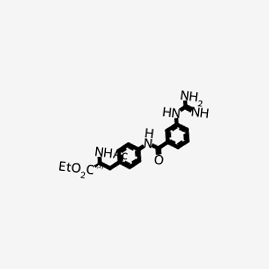 CCOC(=O)[C@H](Cc1ccc(NC(=O)c2cccc(NC(=N)N)c2)cc1)NC(C)=O